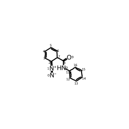 [N-]=[N+]=C1C=CC=CC1C(=O)Nc1ccccc1